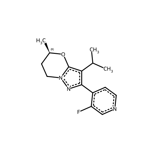 CC(C)c1c(-c2ccncc2F)nn2c1O[C@H](C)CC2